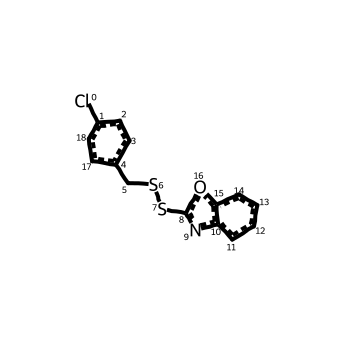 Clc1ccc(CSSc2nc3ccccc3o2)cc1